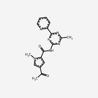 CC(=O)c1cc(C(=O)Nc2nc(C)nc(-c3ccccn3)n2)n(C)c1